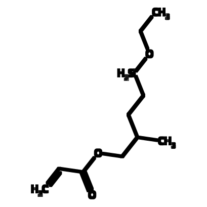 C=CC(=O)OCC(C)CC[SiH2]OCC